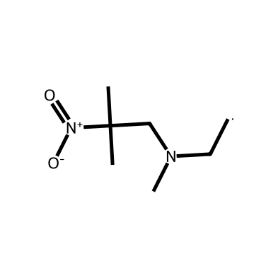 [CH2]CN(C)CC(C)(C)[N+](=O)[O-]